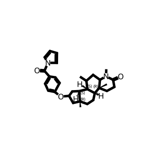 CC1CC2N(C)C(=O)CC[C@]2(C)[C@@H]2CC[C@]3(C)CC(Oc4ccc(C(=O)n5cccc5)cc4)C[C@H]3[C@H]12